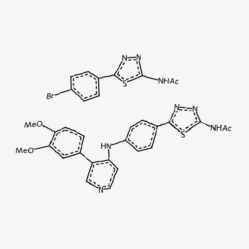 CC(=O)Nc1nnc(-c2ccc(Br)cc2)s1.COc1ccc(-c2cnccc2Nc2ccc(-c3nnc(NC(C)=O)s3)cc2)cc1OC